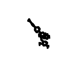 Fc1ccc(CO/N=C(\Cn2cncn2)c2ccc(C#CC3CC3)cc2)c(F)c1